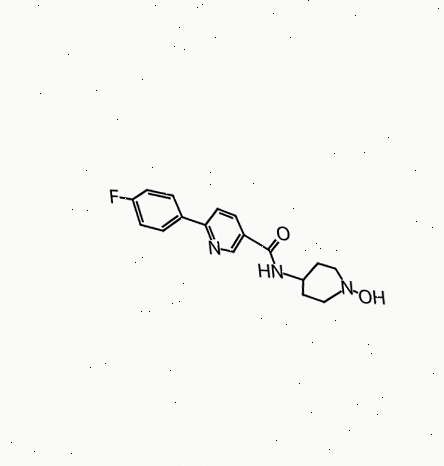 O=C(NC1CCN(O)CC1)c1ccc(-c2ccc(F)cc2)nc1